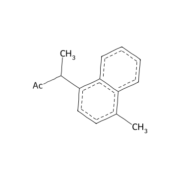 CC(=O)C(C)c1ccc(C)c2ccccc12